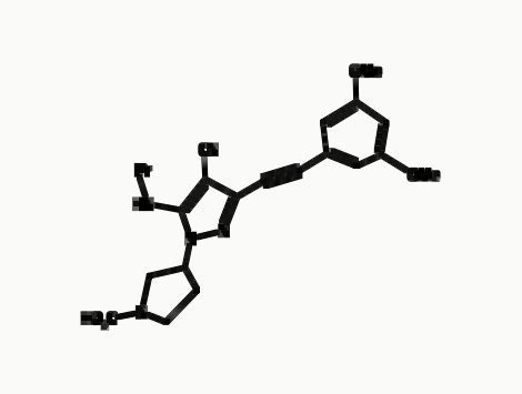 COc1cc(C#Cc2nn(C3CCN(C(=O)O)C3)c(NC(C)C)c2C#N)cc(OC)c1